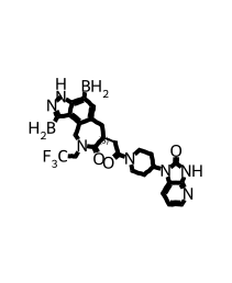 Bc1cc2c(c3c(B)n[nH]c13)CN(CC(F)(F)F)C(=O)[C@H](CC(=O)N1CCC(n3c(=O)[nH]c4ncccc43)CC1)C2